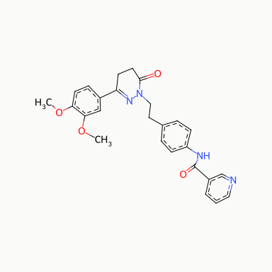 COc1ccc(C2=NN(CCc3ccc(NC(=O)c4cccnc4)cc3)C(=O)CC2)cc1OC